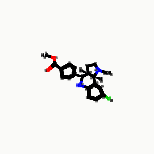 COC(=O)c1ccc([C@@H]2Nc3ccc(Cl)cc3[C@H]3[C@@H]2CCN3C)cc1